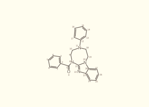 O=C(c1ccccc1)N1CCN(c2ccccc2)CCn2c1nc1ccccc12